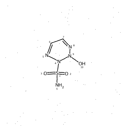 NS(=O)(=O)N1N=CC=NN1O